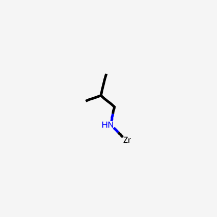 CC(C)C[NH][Zr]